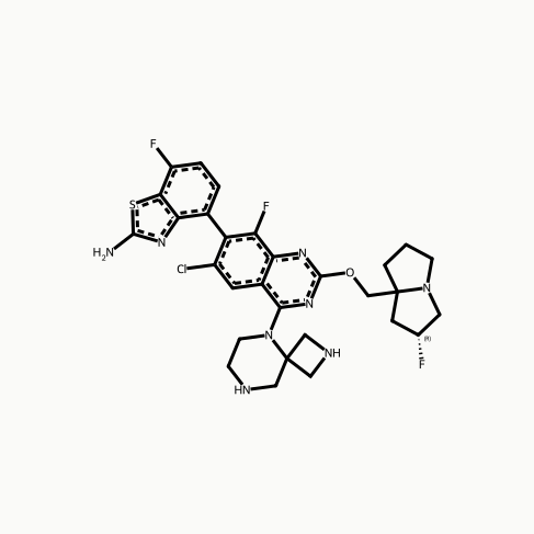 Nc1nc2c(-c3c(Cl)cc4c(N5CCNCC56CNC6)nc(OCC56CCCN5C[C@H](F)C6)nc4c3F)ccc(F)c2s1